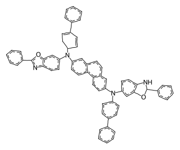 C1=CC(N(c2ccc3c(ccc4cc(N(c5ccc(-c6ccccc6)cc5)c5ccc6c(c5)OC(c5ccccc5)N6)ccc43)c2)c2ccc3nc(-c4ccccc4)oc3c2)CC=C1c1ccccc1